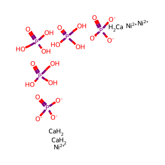 O=P(O)(O)O.O=P(O)(O)O.O=P(O)(O)O.O=P([O-])([O-])[O-].O=P([O-])([O-])[O-].[CaH2].[CaH2].[CaH2].[Ni+2].[Ni+2].[Ni+2]